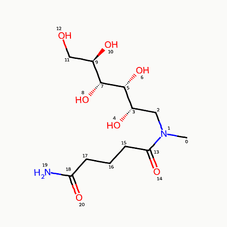 CN(C[C@H](O)[C@@H](O)[C@H](O)[C@H](O)CO)C(=O)CCCC(N)=O